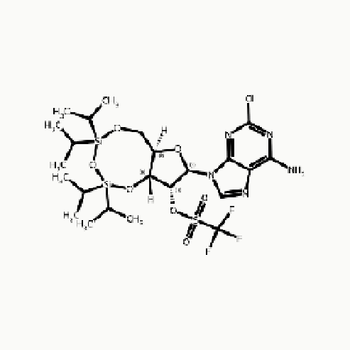 CC(C)[Si]1(C(C)C)OC[C@H]2O[C@@H](n3cnc4c(N)nc(Cl)nc43)[C@H](OS(=O)(=O)C(F)(F)F)[C@@H]2O[Si](C(C)C)(C(C)C)O1